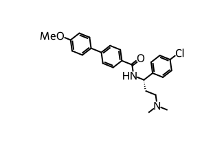 COc1ccc(-c2ccc(C(=O)N[C@@H](CCN(C)C)c3ccc(Cl)cc3)cc2)cc1